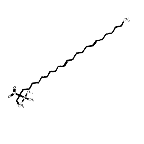 CCCCCCC=CCCCCC=CCCCCCCCCCC(CC)(P(=O)=O)[N+](C)(C)C